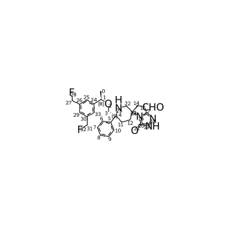 C[C@@H](OC[C@@]1(c2ccccc2)CC[C@@](CC=O)(n2cn[nH]c2=O)CN1)c1cc(CF)cc(CF)c1